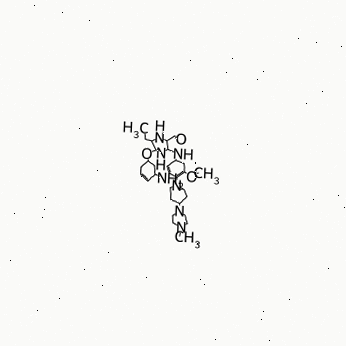 CCC1NC(C=O)C(NC2C=CC(N3CCC(N4CCN(C)CC4)CC3)=C(OC)C2)NC1OC1CC=CC(N)C1